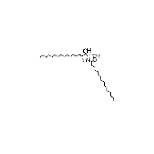 CCCCCCCCCCCCCC=C[C@@H](O)[C@H](CO)NC(=O)CCCCCCCCCCCCCCC